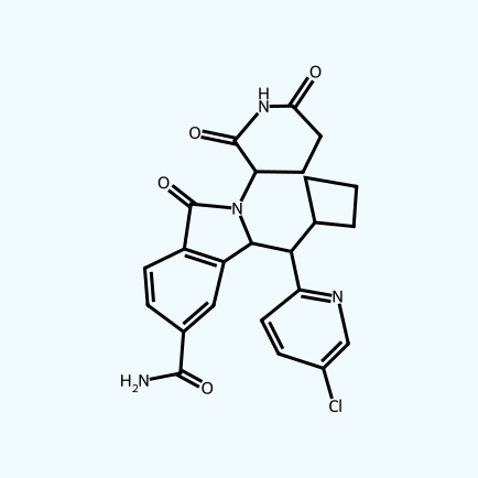 NC(=O)c1ccc2c(c1)C(C(c1ccc(Cl)cn1)C1CCC1)N(C1CCC(=O)NC1=O)C2=O